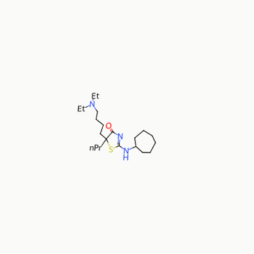 CCCC1(CCCCN(CC)CC)SC(NC2CCCCCC2)=NC1=O